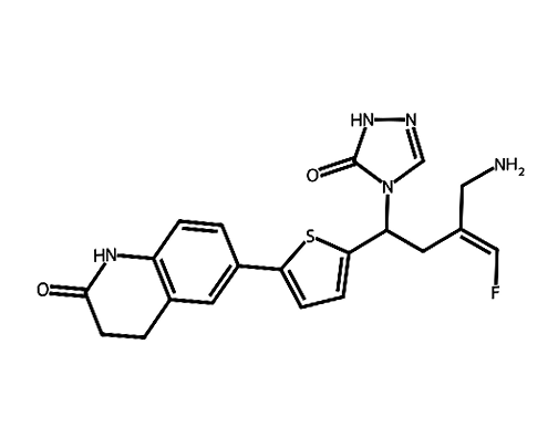 NC/C(=C/F)CC(c1ccc(-c2ccc3c(c2)CCC(=O)N3)s1)n1cn[nH]c1=O